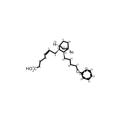 O=C(O)CCC/C=C\C[C@H]1[C@H]2CC[C@H](C2)[C@H]1CCCCOc1ccccc1